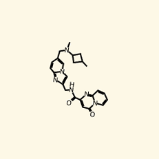 CC1CC(N(C)Cc2ccc3nc(CNC(=O)c4cc(=O)n5ccccc5n4)cn3c2)C1